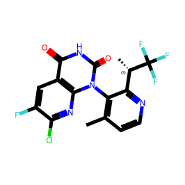 Cc1ccnc([C@H](C)C(F)(F)F)c1-n1c(=O)[nH]c(=O)c2cc(F)c(Cl)nc21